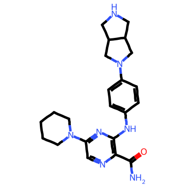 NC(=O)c1ncc(N2CCCCC2)nc1Nc1ccc(N2CC3CNCC3C2)cc1